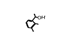 Cc1cccc(C(C)O)c1C